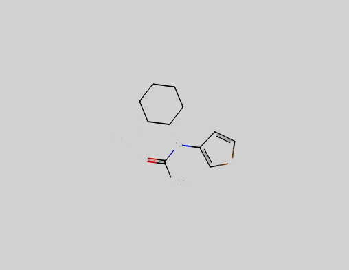 COC(=O)N(c1ccsc1)[C@H]1CCCC[C@H]1C(=O)O